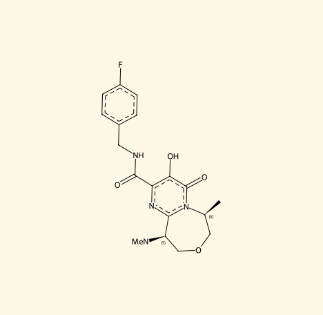 CN[C@@H]1COC[C@H](C)n2c1nc(C(=O)NCc1ccc(F)cc1)c(O)c2=O